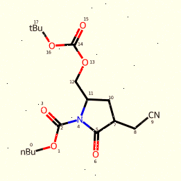 CCCCOC(=O)N1C(=O)C(CC#N)CC1COC(=O)OC(C)(C)C